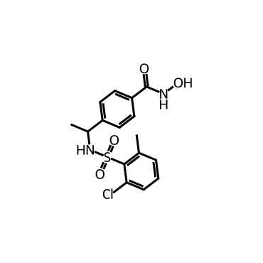 Cc1cccc(Cl)c1S(=O)(=O)NC(C)c1ccc(C(=O)NO)cc1